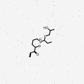 C=CC(=O)C1CCC[SiH](C(CC)OCC(C)O)O1